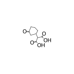 O=C1CCCC(C(C(=O)O)C(=O)O)C1